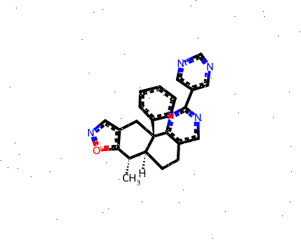 C[C@@H]1c2oncc2C[C@]2(c3ccccc3)c3nc(-c4cncnc4)ncc3CC[C@@H]12